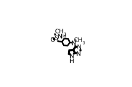 CCS(=N)(=O)CC1CCC(N(C)c2ncnc3[nH]ccc23)CC1